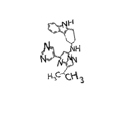 CC(C)c1cnn2c(N[C@@H]3CCc4[nH]c5ccccc5c4C3)cc(-c3cncnc3)nc12